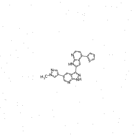 Cn1cc(-c2cnc3[nH]nc(-c4cc5c(-c6cccs6)ccnc5[nH]4)c3c2)cn1